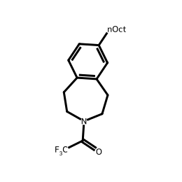 CCCCCCCCc1ccc2c(c1)CCN(C(=O)C(F)(F)F)CC2